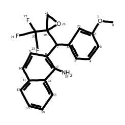 COc1cccc(C(c2ccc3ccccc3c2N)C2(C(F)(F)F)CO2)c1